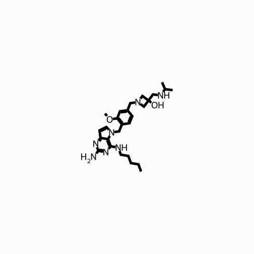 CCCCCNc1nc(N)nc2ccn(Cc3ccc(CN4CC(O)(CNC(C)C)C4)cc3OC)c12